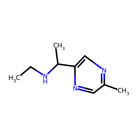 CCNC(C)c1cnc(C)cn1